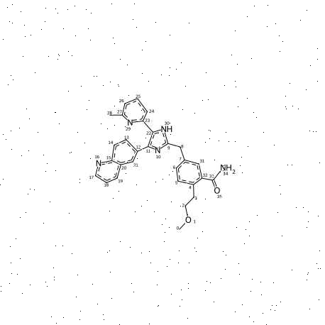 COCCc1ccc(Cc2nc(-c3ccc4ncccc4c3)c(-c3cccc(C)n3)[nH]2)cc1C(N)=O